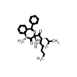 CCCC[C@H](O)[C@@H](CC(C)C)C(=O)C1(N)N=C(c2ccccc2)c2ccccc2N(C)C1=O